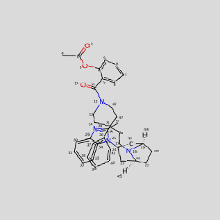 CC(=O)Oc1ccccc1C(=O)N1CCC(CCN2[C@@H]3CC[C@H]2CC(n2c(C)nc4ccccc42)C3)(c2ccccc2)CC1